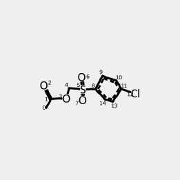 CC(=O)OCS(=O)(=O)c1ccc(Cl)cc1